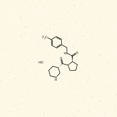 Cl.O=C(NCc1ccc(C(F)(F)F)cc1)[C@H]1CCCN1C(=O)[C@H]1CCCNC1